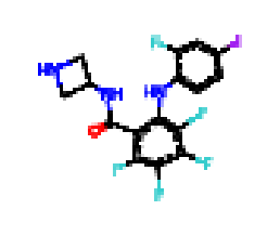 O=C(NC1CNC1)c1c(F)c(F)c(F)c(F)c1Nc1ccc(I)cc1F